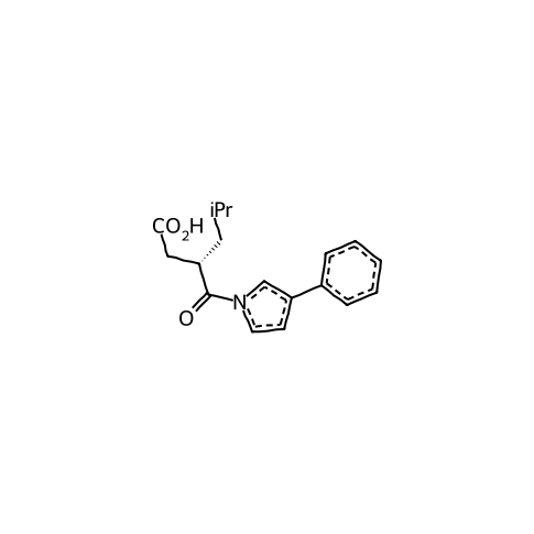 CC(C)C[C@@H](CC(=O)O)C(=O)n1ccc(-c2ccccc2)c1